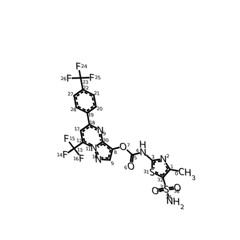 Cc1nc(NC(=O)Oc2cnn3c(C(F)(F)F)cc(-c4ccc(C(F)(F)F)cc4)nc23)sc1S(N)(=O)=O